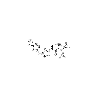 N[C@H](C(=O)Nc1cnn(Cc2cn(CC(F)(F)F)nn2)c1)C(C1CC1)C1CC1